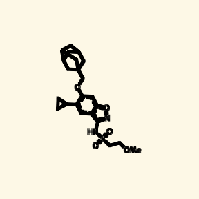 COCCS(=O)(=O)Nc1noc2cc(OCC34CC5CC(C3)C(C5)C4)c(C3CC3)cc12